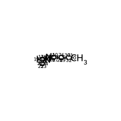 CC1CCC(c2ccc(-c3ccc(N=Nc4ccc(I)c5ccccc45)cc3)cc2)CC1